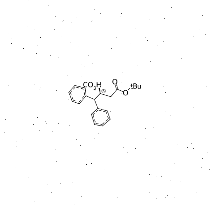 CC(C)(C)OC(=O)C[C@H](C(=O)O)C(c1ccccc1)c1ccccc1